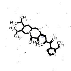 C=Cc1sccc1C(=C)C(=C)/C=C1/OCC2CC(C(C)C)C(C(C)C)CN2C(=O)C1=C